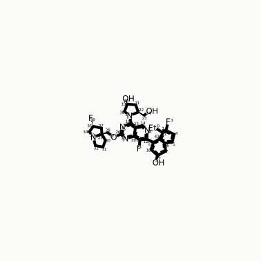 CCc1c(F)ccc2cc(O)cc(-c3ncc4c(N5C[C@H](O)C[C@H]5CO)nc(OC[C@@]56CCCN5C[C@H](F)C6)nc4c3F)c12